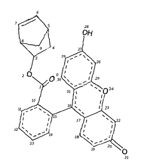 O=C(OC1CC2C=CC1C2)c1ccccc1-c1c2ccc(=O)cc-2oc2cc(O)ccc12